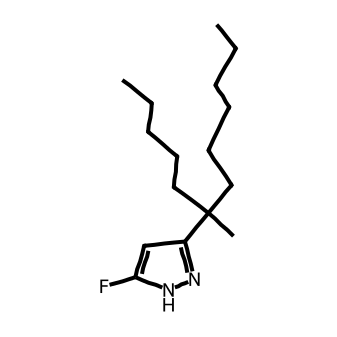 CCCCCCC(C)(CCCCC)c1cc(F)[nH]n1